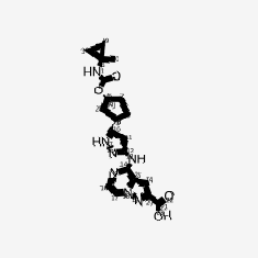 CC1(NC(=O)O[C@@H]2CC[C@H](c3cc(Nc4nccn5nc(C(=O)O)cc45)n[nH]3)C2)CC1